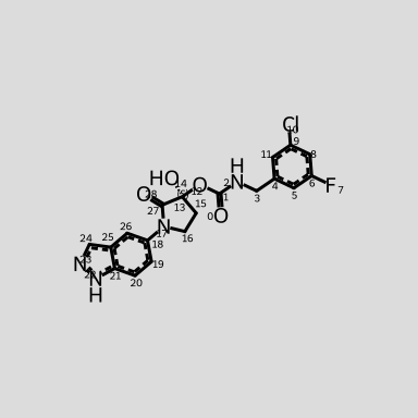 O=C(NCc1cc(F)cc(Cl)c1)O[C@@]1(O)CCN(c2ccc3[nH]ncc3c2)C1=O